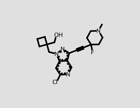 CN1CCC(F)(C#Cc2nn(CC3(CO)CCC3)c3cc(Cl)ncc23)CC1